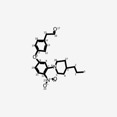 CCCC1CCN(c2cc(Oc3ccc(CC=O)cc3)ccc2[N+](=O)[O-])CC1